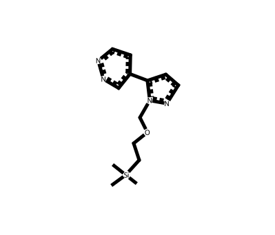 C[Si](C)(C)CCOCn1nccc1-c1ccnnc1